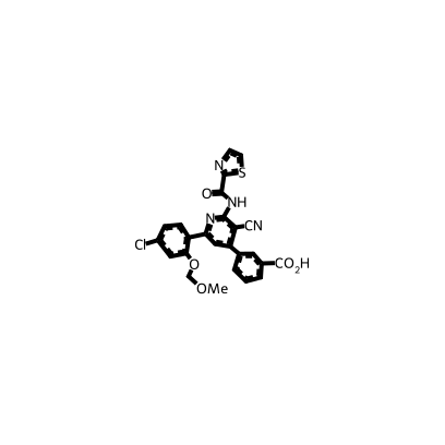 COCOc1cc(Cl)ccc1-c1cc(-c2cccc(C(=O)O)c2)c(C#N)c(NC(=O)c2nccs2)n1